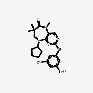 COc1cc(N=O)cc(Nc2ncc3c(n2)N(C2CCCC2)CC(C)(C)C(=O)N3C)c1